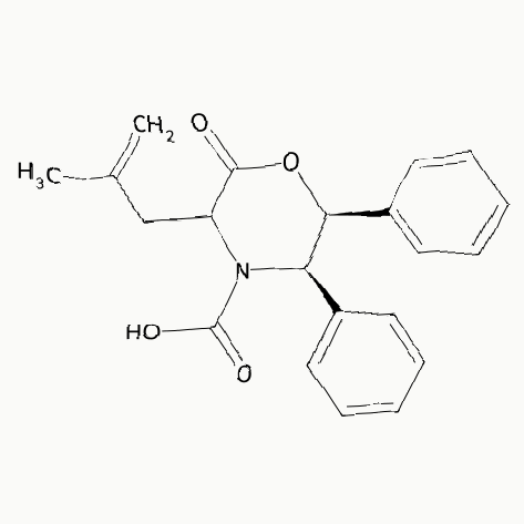 C=C(C)CC1C(=O)O[C@@H](c2ccccc2)[C@@H](c2ccccc2)N1C(=O)O